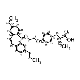 CCCc1ccc2c(c1)C(OCCOc1ccc(CC(OC)C(=O)O)cc1)c1ccc(CC)cc1C=C2